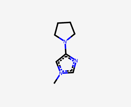 Cn1cnc(N2CCCC2)c1